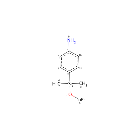 CCCO[Si](C)(C)c1ccc(N)cc1